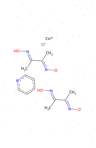 CC(=N\[O-])/C(C)=N/O.CC(=N\[O-])/C(C)=N/O.[Cl-].[Co+3].c1ccncc1